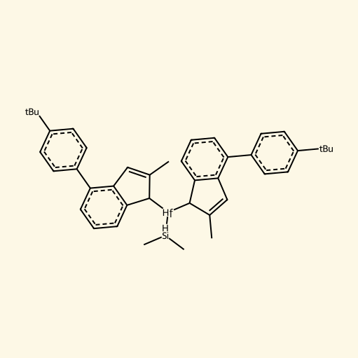 CC1=Cc2c(-c3ccc(C(C)(C)C)cc3)cccc2[CH]1[Hf]([CH]1C(C)=Cc2c(-c3ccc(C(C)(C)C)cc3)cccc21)[SiH](C)C